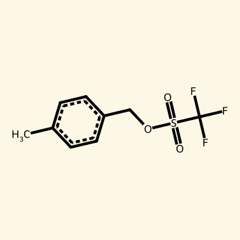 Cc1ccc(COS(=O)(=O)C(F)(F)F)cc1